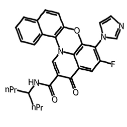 CCCC(CCC)NC(=O)c1cn2c3c(c(-n4ccnc4)c(F)cc3c1=O)Oc1ccc3ccccc3c1-2